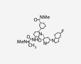 CNC(=O)c1cccc(-c2ccc(NC(=O)[C@@H](C)NC)c(=O)n2Cc2cncc(-n3ccc4cc(F)ccc43)c2)c1